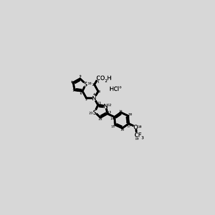 Cl.O=C(O)CCN(Cc1cccs1)c1nc(-c2ccc(OC(F)(F)F)cc2)cs1